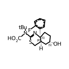 CC(C)(C)N(C(=O)O)C1=N[C@@]2(c3ccccc3F)CC[C@H](O)C[C@H]2CS1